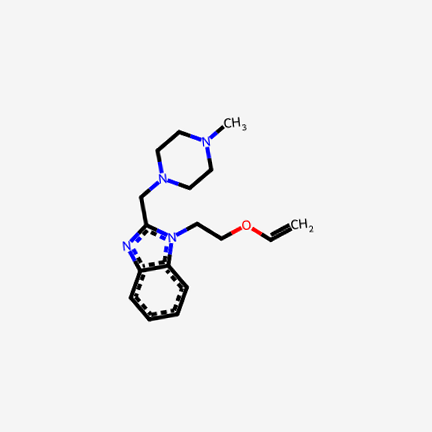 C=COCCn1c(CN2CCN(C)CC2)nc2ccccc21